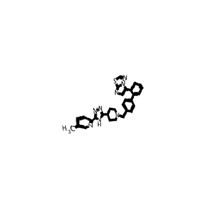 Cc1ccc(-c2nnc(C3CCN(Cc4ccc(-c5ccccc5-c5cnc6scnn56)cc4)CC3)[nH]2)nc1